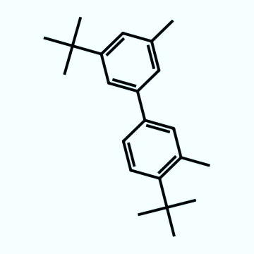 Cc1cc(-c2ccc(C(C)(C)C)c(C)c2)cc(C(C)(C)C)c1